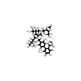 [2H]c1c([2H])c(C)c(-c2c([2H])c(C)c(C([2H])(C)n3c(C([2H])([2H])C([2H])(C)C([2H])([2H])[2H])nc(C(OC)(C([2H])([2H])C)C([2H])([2H])C)c3C(=O)OC([2H])([2H])c3oc(=O)oc3C([2H])([2H])C)c(C)c2[2H])c(-c2nnnn2[2H])c1[2H]